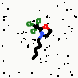 CCCCCN1CCOC1C(Cl)(Cl)Cl